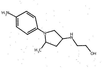 CC1CC(NCCO)CN1c1ccc(N)cc1